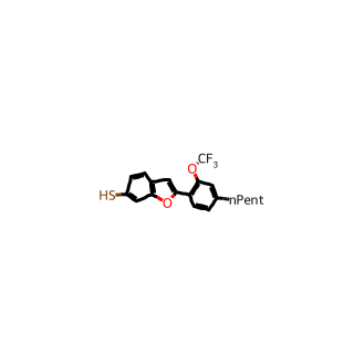 CCCCCc1ccc(-c2cc3ccc(S)cc3o2)c(OC(F)(F)F)c1